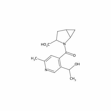 Cc1cc(C(=O)N2C(C(=O)O)CC3CC32)c(C(C)O)cn1